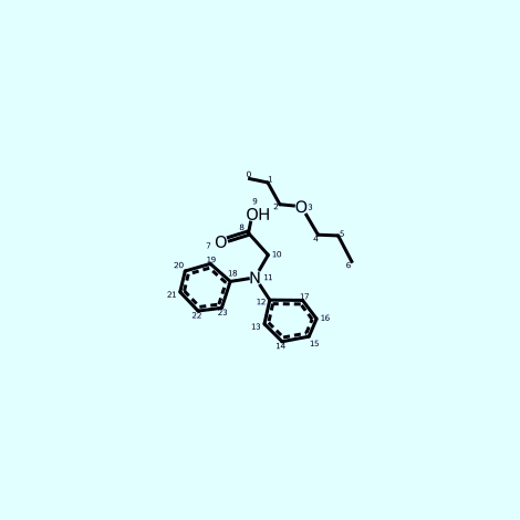 CCCOCCC.O=C(O)CN(c1ccccc1)c1ccccc1